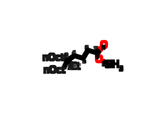 CCCCCCCCC(CC)(CCCCCCCC)CCCC(=O)O[SiH3]